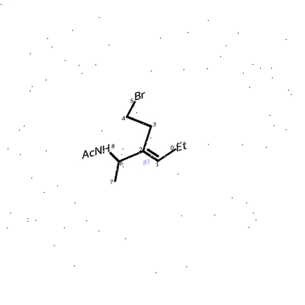 CC/C=C(\CCBr)C(C)NC(C)=O